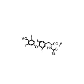 CCC(=O)NC(Cc1cc(I)c(Oc2cc(I)c(O)c(I)c2)c(I)c1)C(=O)O